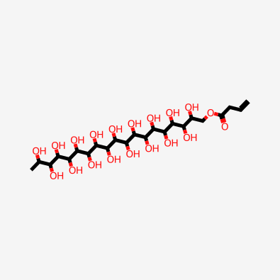 C=CCC(=O)OCC(O)C(O)C(O)C(O)C(O)C(O)C(O)C(O)C(O)C(O)C(O)C(O)C(O)C(O)C(O)C(O)C(C)O